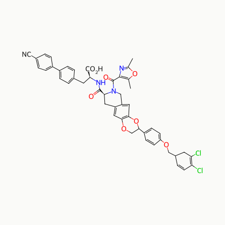 Cc1nc(C(=O)N2Cc3cc4c(cc3C[C@H]2C(=O)N[C@@H](Cc2ccc(-c3ccc(C#N)cc3)cc2)C(=O)O)OCC(c2ccc(OCC3C=CC(Cl)=C(Cl)C3)cc2)O4)c(C)o1